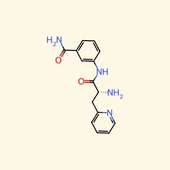 NC(=O)c1cccc(NC(=O)[C@H](N)Cc2ccccn2)c1